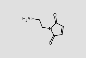 O=C1C=CC(=O)N1CC[AsH2]